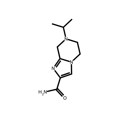 CC(C)N1CCn2cc(C(N)=O)nc2C1